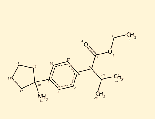 CCOC(=O)C(c1ccc(C2(N)CCCC2)cc1)C(C)C